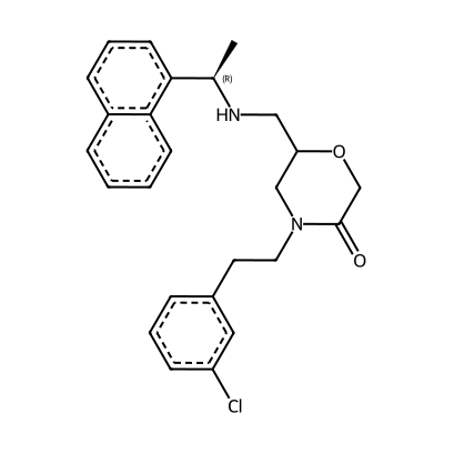 C[C@@H](NCC1CN(CCc2cccc(Cl)c2)C(=O)CO1)c1cccc2ccccc12